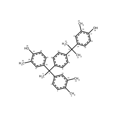 Cc1ccc(C(C)(c2ccc(C(C)(C)c3ccc(O)c(C)c3)cc2)c2ccc(O)c(C)c2)cc1C